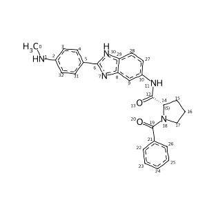 CNc1ccc(-c2nc3cc(NC(=O)[C@@H]4CCCN4C(=O)c4ccccc4)ccc3[nH]2)cc1